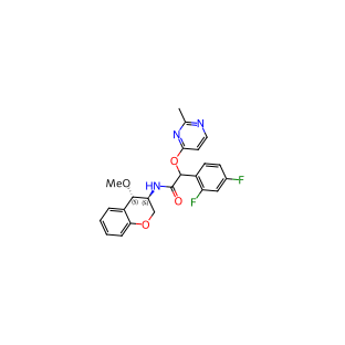 CO[C@H]1c2ccccc2OC[C@@H]1NC(=O)C(Oc1ccnc(C)n1)c1ccc(F)cc1F